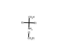 CCC(N)(CC)C(=O)O.CCOC(=O)Cl